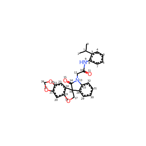 CC(C)c1ccccc1NC(=O)CN1C(=O)C2(COc3cc4c(cc32)OCO4)c2ccccc21